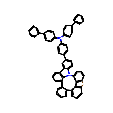 c1ccc(-c2ccc(N(c3ccc(-c4ccccc4)cc3)c3ccc(-c4ccc5c(c4)c4cccc6c7ccccc7c7cccc8sc9cccc(c9c87)n5c64)cc3)cc2)cc1